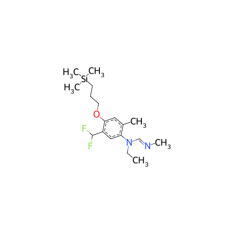 CCN(C=NC)c1cc(C(F)F)c(OCCC[Si](C)(C)C)cc1C